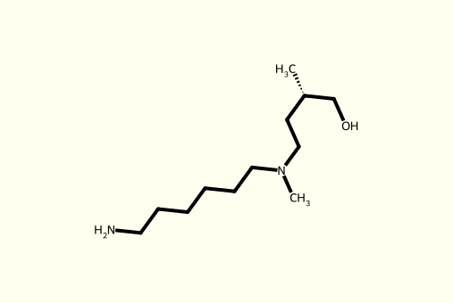 C[C@H](CO)CCN(C)CCCCCCN